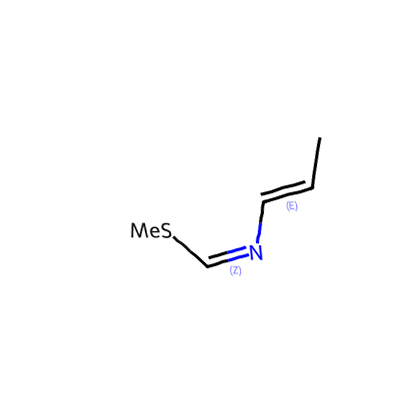 C/C=C/N=C\SC